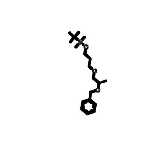 C[C@H](COCCCO[Si](C)(C)C(C)(C)C)OCc1ccccc1